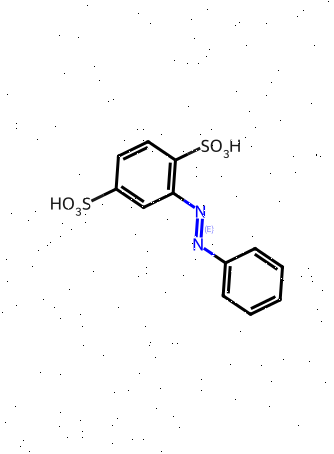 O=S(=O)(O)c1ccc(S(=O)(=O)O)c(/N=N/c2ccccc2)c1